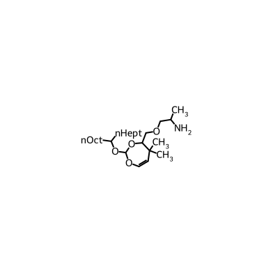 CCCCCCCCC(CCCCCCC)OC1OC=CC(C)(C)C(COCC(C)N)O1